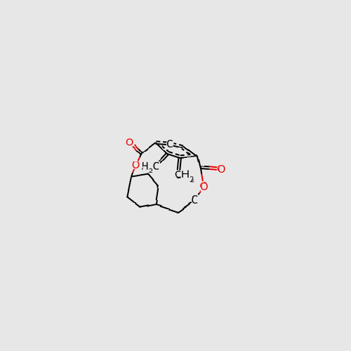 C=c1c2ccc(c1=C)C(=O)OC1CCC(CCOC2=O)CC1